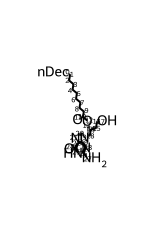 CCCCCCCCCCCCCCCCCCCC(=O)OC[C@H](CCO)Cn1cnc2c(=O)[nH]c(N)nc21